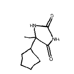 CC1(C2CCCC2)NC(=O)NC1=O